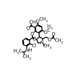 COc1cc(OC)c(C2CCN(C)C2COC(C)=O)c(OC(=O)c2cccc(NC(C)C)c2Cl)c1C(C)=O